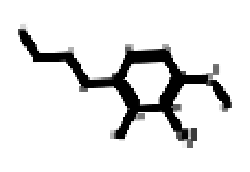 CCCCc1ccc(OC)c(O)c1C